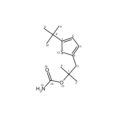 CC(C)(Cc1ccc(C(C)(C)C)s1)OC(N)=O